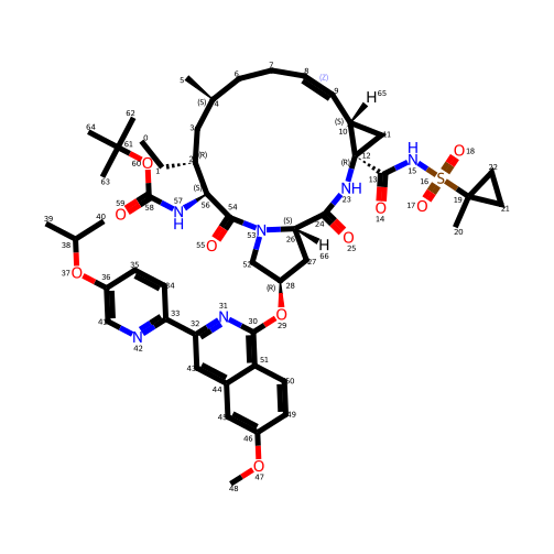 CC[C@@H]1C[C@@H](C)CC/C=C\[C@@H]2C[C@@]2(C(=O)NS(=O)(=O)C2(C)CC2)NC(=O)[C@@H]2C[C@@H](Oc3nc(-c4ccc(OC(C)C)cn4)cc4cc(OC)ccc34)CN2C(=O)[C@H]1NC(=O)OC(C)(C)C